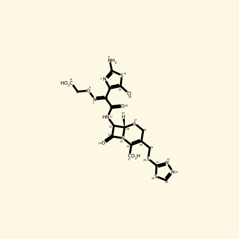 Nc1nc(C(=NOCC(=O)O)C(=O)NC2C(=O)N3C(C(=O)O)=C(CSc4nncs4)CS[C@@H]23)c(Cl)s1